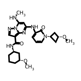 CNc1cc(Nc2cccn([C@H]3C[C@@H](OC)C3)c2=O)nc2c(C(=O)N[C@@H]3CCC[C@@H](OC)C3)cnn12